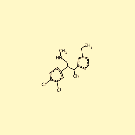 CCc1cccc([C@@H](O)C(CNC)c2ccc(Cl)c(Cl)c2)c1